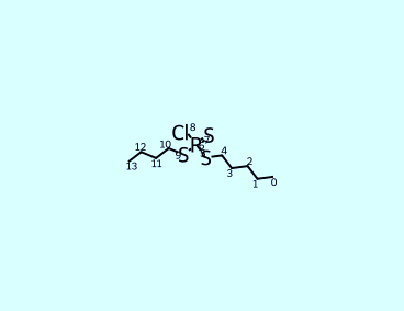 CCCCCSP(=S)(Cl)SCCCC